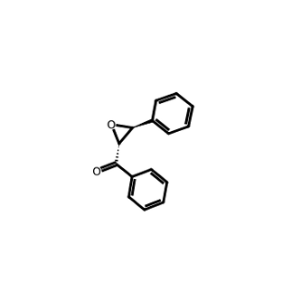 O=C(c1ccccc1)[C@@H]1O[C@H]1c1ccccc1